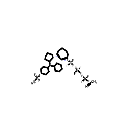 C1=C\CCCC\C=C/1.C1CCC(P(C2CCCCC2)C2CCCCC2)CC1.CC#N.F[B-](F)(F)F.F[B-](F)(F)F.F[B-](F)(F)F.F[B-](F)(F)F.[Ir+4]